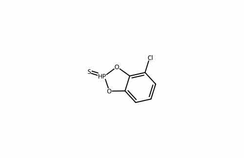 S=[PH]1Oc2cccc(Cl)c2O1